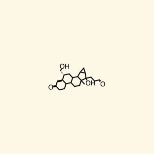 CC12CCC3C4CCC(=O)C=C4[C@H](CO)CC3C1C1CC1C2(O)CCC=O